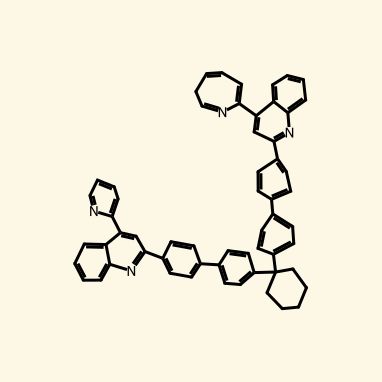 C1=CCC=NC(c2cc(-c3ccc(-c4ccc(C5(c6ccc(-c7ccc(-c8cc(-c9ccccn9)c9ccccc9n8)cc7)cc6)CCCCC5)cc4)cc3)nc3ccccc23)=C1